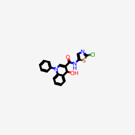 O=C(Nc1cnc(Cl)s1)C1=CN(c2ccccc2)c2ccccc2C1O